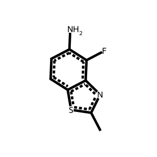 Cc1nc2c(F)c(N)ccc2s1